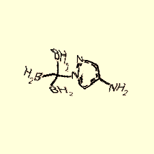 BC(B)(B)n1cc(N)cn1